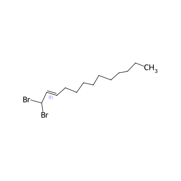 CCCCCCCCCC/C=C/C(Br)Br